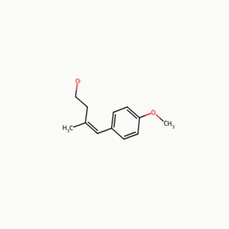 COc1ccc(C=C(C)CC[O])cc1